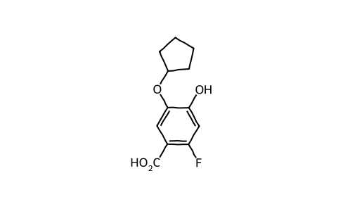 O=C(O)c1cc(OC2CCCC2)c(O)cc1F